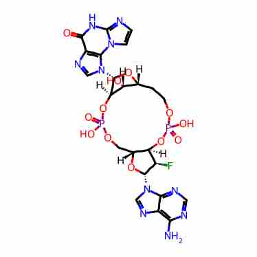 Nc1ncnc2c1ncn2[C@@H]1O[C@@H]2COP(=O)(O)O[C@@H]3[C@H](O)[C@@H](CCOP(=O)(O)O[C@H]2[C@H]1F)O[C@H]3n1cnc2c(=O)[nH]c3nccn3c21